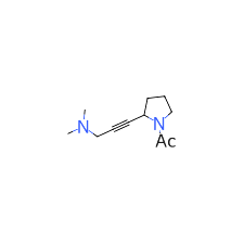 CC(=O)N1CCCC1C#CCN(C)C